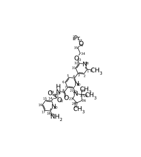 Cc1cc(-c2ccc(C(=O)NS(=O)(=O)c3cccc(N)n3)c(N3C[C@@H](C)CC3(C)C)n2)cc(OCCOC(C)C)n1